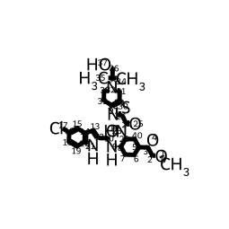 COCC(=O)C1CC[C@H](NC(=O)c2cc3cc(Cl)ccc3[nH]2)[C@H](NC(=O)c2nc3c(s2)CN(C(C)(C)CO)CC3)C1